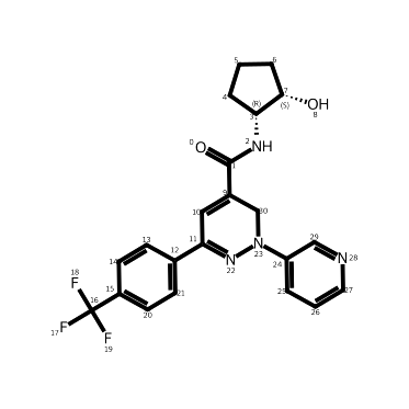 O=C(N[C@@H]1CCC[C@@H]1O)C1=CC(c2ccc(C(F)(F)F)cc2)=NN(c2cccnc2)C1